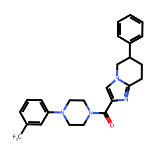 O=C(c1cn2c(n1)CCC(c1ccccc1)C2)N1CCN(c2cccc(C(F)(F)F)c2)CC1